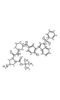 CC(C)(C)OC(=O)N1CC(N)CC1C(=O)N[C@H]1CCC[C@@H](Nc2ncc(Cl)c(-c3cn(S(=O)(=O)c4ccccc4)c4ccccc34)n2)C1